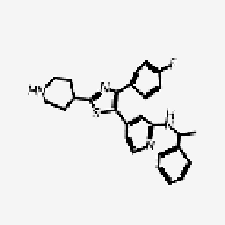 CC(Nc1cc(-c2sc(C3CCNCC3)nc2-c2ccc(F)cc2)ccn1)c1ccccc1